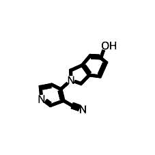 N#Cc1cnccc1N1Cc2ccc(O)cc2C1